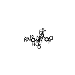 CC(=O)O.COc1cc(Nc2nc3nc(C(F)(F)F)cc(-c4ccc(F)c(Cl)c4)n3n2)ccc1-n1cnc(C)c1